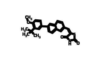 COc1ccc(-c2ccc3cc(C=C4SC(=O)NC4=O)ccc3c2)cc1C(C)(C)C